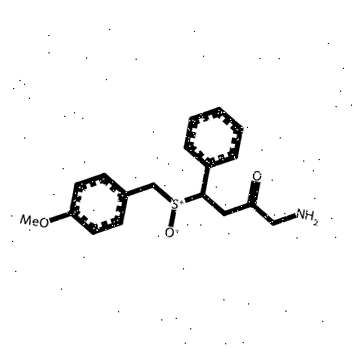 COc1ccc(C[S+]([O-])C(CC(=O)CN)c2ccccc2)cc1